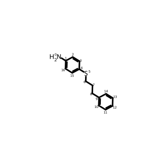 Nc1ccc(SCCCc2ccccc2)cc1